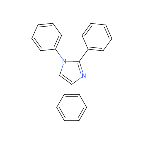 c1ccc(-c2nccn2-c2ccccc2)cc1.c1ccccc1